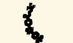 CS(=O)(=O)c1ccc(-c2noc(C3CCN(C(=O)CCCC(F)(F)F)CC3)n2)cc1